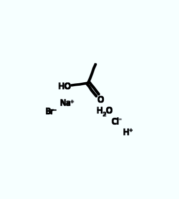 CC(=O)O.O.[Br-].[Cl-].[H+].[Na+]